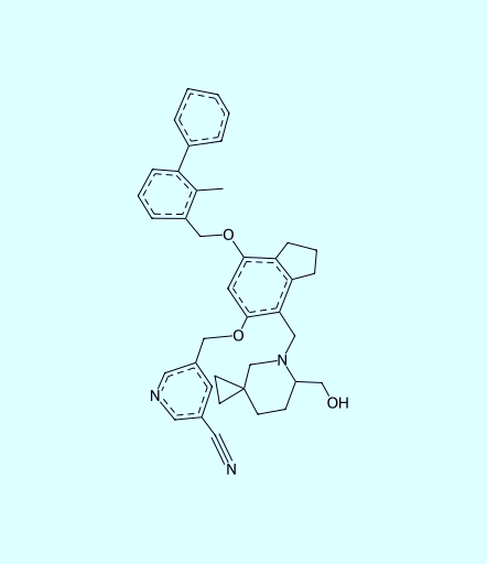 Cc1c(COc2cc(OCc3cncc(C#N)c3)c(CN3CC4(CCC3CO)CC4)c3c2CCC3)cccc1-c1ccccc1